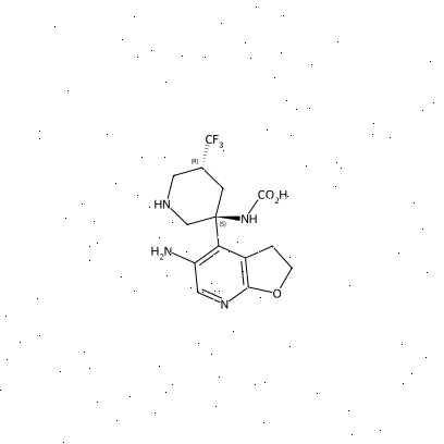 Nc1cnc2c(c1[C@]1(NC(=O)O)CNC[C@H](C(F)(F)F)C1)CCO2